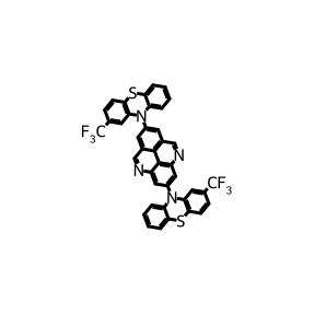 FC(F)(F)c1ccc2c(c1)N(c1cc3cnc4cc(N5c6ccccc6Sc6ccc(C(F)(F)F)cc65)cc5ncc(c1)c3c45)c1ccccc1S2